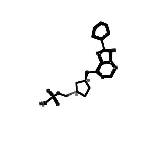 NS(=O)(=O)OC[C@H]1CC[C@H](Oc2ncnc3[nH]c(-c4ccccc4)nc23)C1